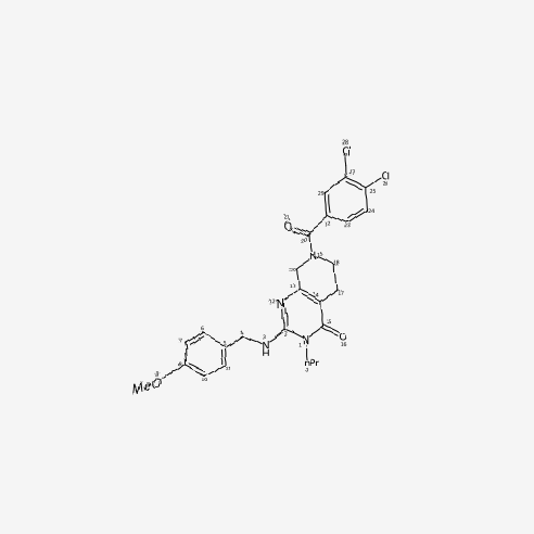 CCCn1c(NCc2ccc(OC)cc2)nc2c(c1=O)CCN(C(=O)c1ccc(Cl)c(Cl)c1)C2